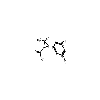 CC1(C)[C@H](C(=O)O)[C@H]1c1cc(Cl)cc(Cl)c1